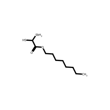 CCCCCCCCOC(=O)[CH](S)[SbH2]